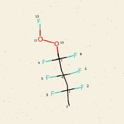 CC(F)(F)C(F)(F)C(F)(F)OOF